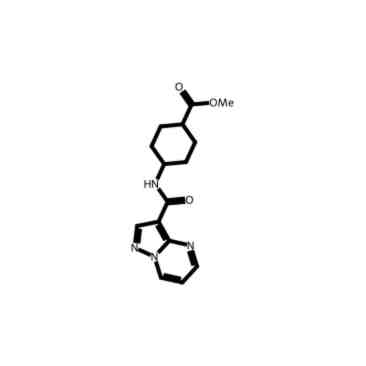 COC(=O)C1CCC(NC(=O)c2cnn3cccnc23)CC1